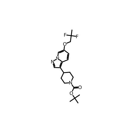 CC(F)(F)COc1ccc2c(C3CCN(C(=O)OC(C)(C)C)CC3)cnn2c1